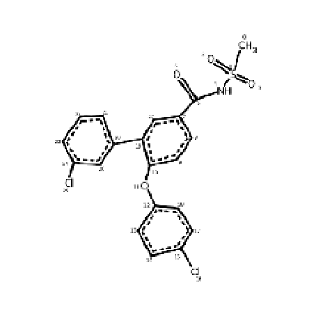 CS(=O)(=O)NC(=O)c1ccc(Oc2ccc(Cl)cc2)c(-c2cccc(Cl)c2)c1